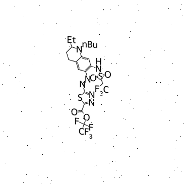 CCCCN1c2cc(NS(=O)(=O)CC(F)(F)F)c(N=Nc3nnc(C(=O)OC(F)(F)C(F)(F)F)s3)cc2CCC1CC